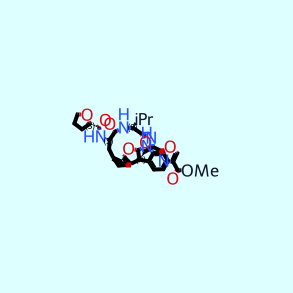 COC(=O)c1coc(-c2nc3oc2[C@@]24c5ccccc5NC2Oc2ccc(cc24)C[C@H](NC(=O)[C@@H]2CCCO2)C(=O)N[C@H]3C(C)C)n1